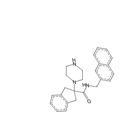 O=C(NCc1ccc2ccccc2c1)C1(N2CCNCC2)Cc2ccccc2C1